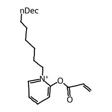 C=CC(=O)Oc1cccc[n+]1CCCCCCCCCCCCCCCC